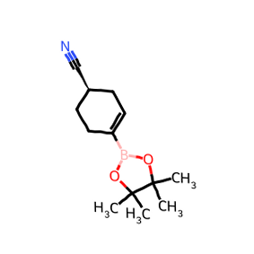 CC1(C)OB(C2=CC[C@H](C#N)CC2)OC1(C)C